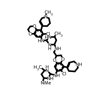 CNC1CC(C)NC(Nc2cc3c(c(C4=CCNCCC4)c2Cl)OCC(CNC2CC(C)NC(Nc4cc5c(c(C6=CCN(C)CCC6)c4Cl)OCCO5)N2)O3)N1